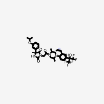 C/C=C\c1cc(C(O)(C(F)(F)F)C(F)(F)F)ccc1N1CC(C)N(C(=O)CN2C(=O)N[C@](C)(c3cccc(OC(C)C)c3)C2=O)CC1C